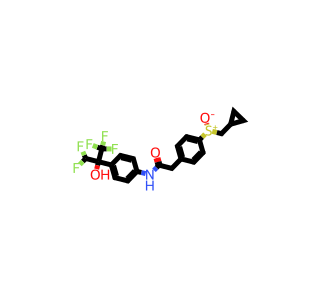 O=C(Cc1ccc([S+]([O-])CC2CC2)cc1)Nc1ccc(C(O)(C(F)F)C(F)(F)F)cc1